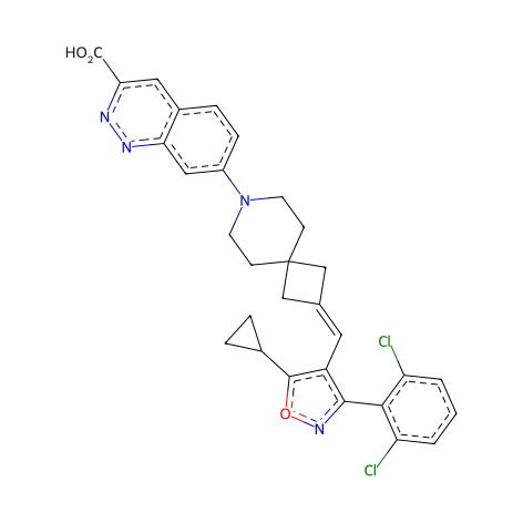 O=C(O)c1cc2ccc(N3CCC4(CC3)CC(=Cc3c(-c5c(Cl)cccc5Cl)noc3C3CC3)C4)cc2nn1